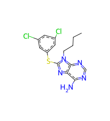 CCCCn1c(Sc2cc(Cl)cc(Cl)c2)nc2c(N)ncnc21